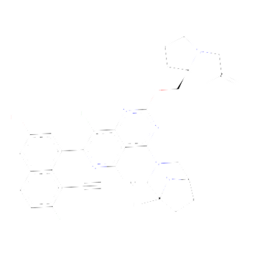 C#Cc1c(F)ccc2cc(O)cc(-c3nc(OC)c4c(N5CC6CCC(CC)(C5)N6)nc(OC[C@@]56CCCN5CC(=C)C6)nc4c3F)c12